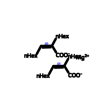 CCCCCC/C=C(/CCCCCC)C(=O)[O-].CCCCCC/C=C(/CCCCCC)C(=O)[O-].[Mg+2]